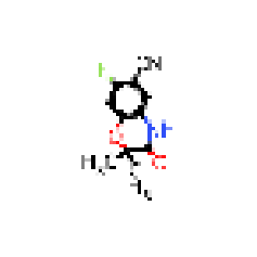 CC1(C)Oc2cc(F)c(C#N)cc2NC1=O